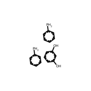 Oc1cccc(O)c1.Pc1ccccc1.Pc1ccccc1